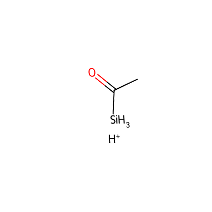 CC(=O)[SiH3].[H+]